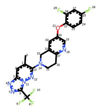 Cc1cc2nnc(C(F)(F)F)n2nc1N1CCc2ncc(Oc3ccc(F)cc3F)cc2C1